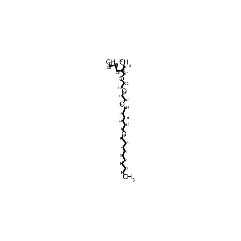 CCCCCCCCCCOCCCCCCOCCOCCOCC(CC)CCCC